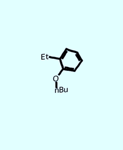 [CH2]Cc1ccccc1OCCCC